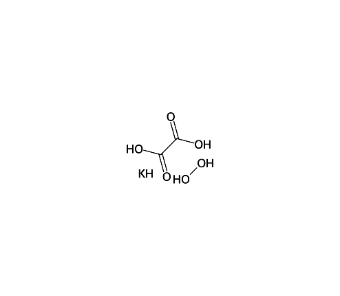 O=C(O)C(=O)O.OO.[KH]